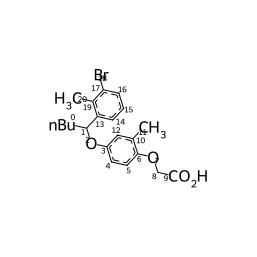 CCCCC(Oc1ccc(OCC(=O)O)c(C)c1)c1cccc(Br)c1C